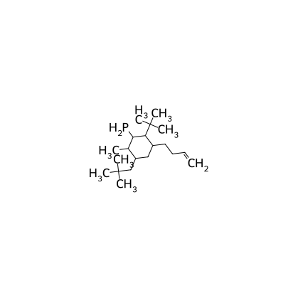 C=CCCC1CC(CC(C)(C)C)C(C)C(P)C1C(C)(C)C